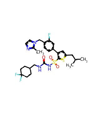 Cc1nccn1Cc1ccc(-c2cc(CC(C)C)sc2S(=O)(=O)NC(=O)NCC2CCC(F)(F)CC2)cc1F